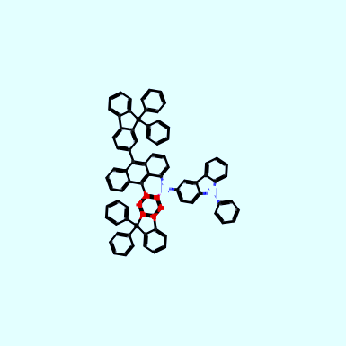 c1ccc(N(c2ccc3c(c2)c2ccccc2n3-c2ccccc2)c2cccc3c(-c4ccc5c(c4)C(c4ccccc4)(c4ccccc4)c4ccccc4-5)c4ccccc4c(-c4ccc5c(c4)C(c4ccccc4)(c4ccccc4)c4ccccc4-5)c23)cc1